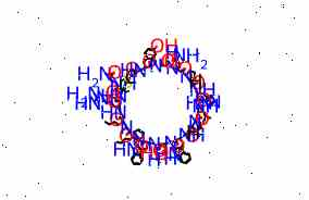 CCCC[C@H]1C(=O)N(C)[C@@H](CCCC)C(=O)N[C@@H](CCCNC(=N)N)C(=O)N[C@H](C(=O)NCC(N)=O)CSCC(=O)N[C@@H](Cc2ccc(O)cc2)C(=O)N(C)[C@@H](C)C(=O)NC(CC(N)=O)C(=O)N2CCC[C@H]2C(=O)N[C@@H](Cc2cnc[nH]2)C(=O)N[C@@H](CC(C)C)C(=O)N2CCC[C@H]2C(=O)N[C@@H](Cc2c[nH]c3ccccc23)C(=O)N[C@@H](CO)C(=O)N[C@@H](Cc2c(-c3ccccc3)[nH]c3ccccc23)C(=O)N1C